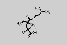 CCC(C)(CC(C)(C)C(=O)O)C(=O)OCCN(C)C